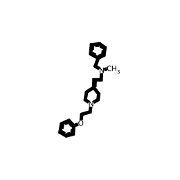 CN(CC=C1CCN(CCOc2ccccc2)CC1)Cc1ccccc1